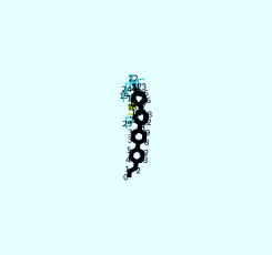 CCCC1CCC(C2CCC(c3ccc4c(sc5c(F)c(C(F)(F)F)ccc54)c3F)CC2)CC1